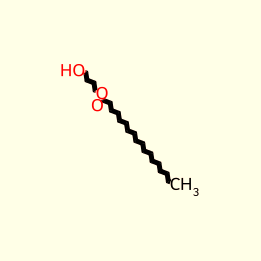 CCCCCCCCCCCCCCCCCC(=O)OCCCCO